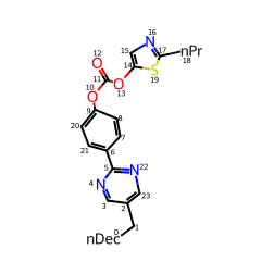 CCCCCCCCCCCc1cnc(-c2ccc(OC(=O)Oc3cnc(CCC)s3)cc2)nc1